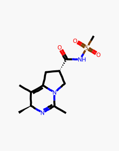 CC1=N[C@@H](C)C(C)=C2C[C@H](C(=O)NS(C)(=O)=O)CN12